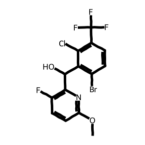 COc1ccc(F)c(C(O)c2c(Br)ccc(C(F)(F)F)c2Cl)n1